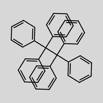 c1ccc(C(c2ccccc2)(c2ccccc2)C(c2ccccc2)(c2ccccc2)c2ccccc2)cc1